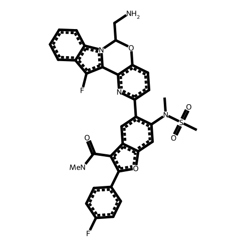 CNC(=O)c1c(-c2ccc(F)cc2)oc2cc(N(C)S(C)(=O)=O)c(-c3ccc4c(n3)-c3c(F)c5ccccc5n3C(CN)O4)cc12